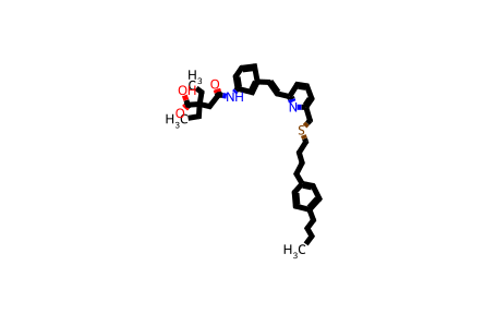 CCCCc1ccc(CCCCSCc2cccc(C=Cc3cccc(NC(=O)CC(CC)(CC)C(=O)O)c3)n2)cc1